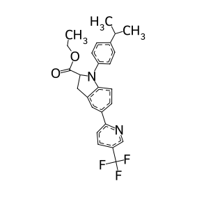 CCOC(=O)C1Cc2cc(-c3ccc(C(F)(F)F)cn3)ccc2N1c1ccc(C(C)C)cc1